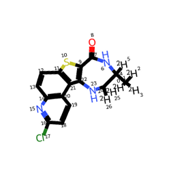 [2H]C([2H])([2H])C1([2H])NC(=O)c2sc3ccc4nc(Cl)ccc4c3c2NC1([2H])[2H]